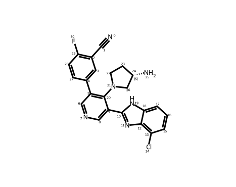 N#Cc1cc(-c2cncc(-c3nc4c(Cl)cccc4[nH]3)c2N2CC[C@H](N)C2)ccc1F